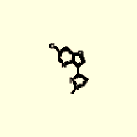 Cn1ccc(-c2coc3cc(Cl)cnc23)n1